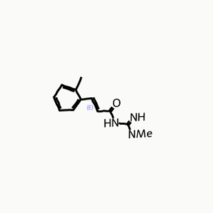 CNC(=N)NC(=O)/C=C/c1ccccc1C